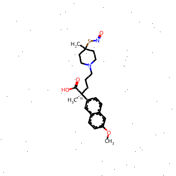 COc1ccc2cc([C@](C)(CCCN3CCC(C)(SN=O)CC3)C(=O)O)ccc2c1